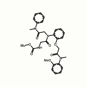 COc1ccccc1N(C)C(=O)COc1ccccc1N(CC(=O)N(C)c1ccccc1)C(=O)CNC(=O)OC(C)(C)C